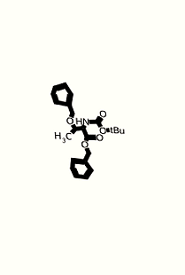 CC(OCc1ccccc1)C(NC(=O)OC(C)(C)C)C(=O)OCc1ccccc1